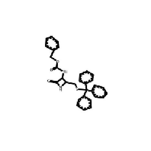 O=C(NC1C(=O)NC1CSC(c1ccccc1)(c1ccccc1)c1ccccc1)OCc1ccccc1